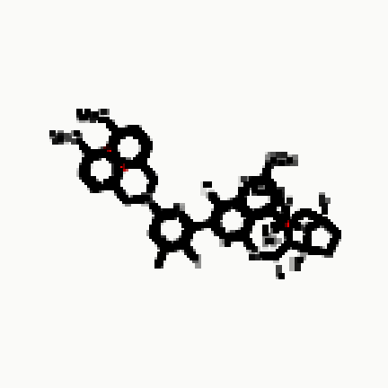 COc1ccc(CN(Cc2ccc(OC)cc2)c2cc(C)c(I)c(-c3nc4c5c(nc(SC)nc5c3F)N3C[C@H]5CC[C@@H]([C@H]3[C@H](C)O4)N5C(=O)OC(C)(C)C)n2)cc1